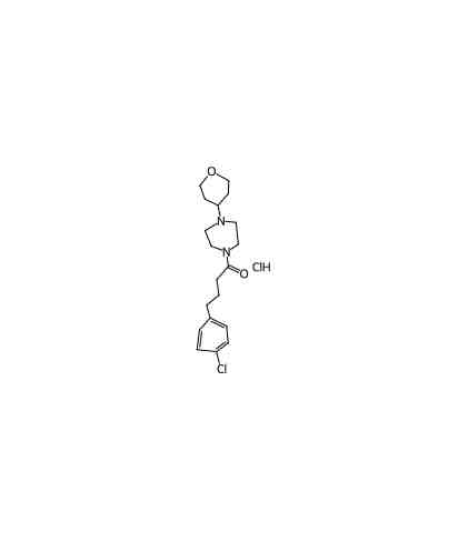 Cl.O=C(CCCc1ccc(Cl)cc1)N1CCN(C2CCOCC2)CC1